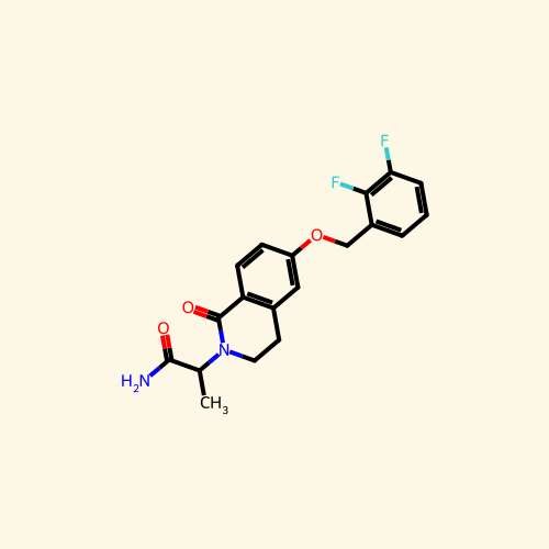 CC(C(N)=O)N1CCc2cc(OCc3cccc(F)c3F)ccc2C1=O